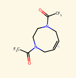 O=C(N1C/C=C\CN(C(=O)C(F)(F)F)CC1)C(F)(F)F